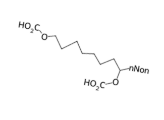 CCCCCCCCCC(CCCCCCCOC(=O)O)OC(=O)O